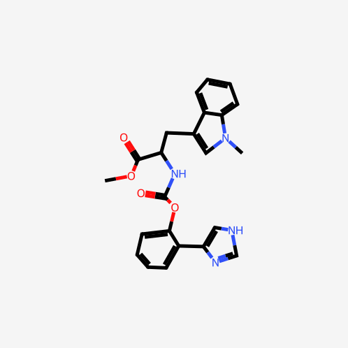 COC(=O)C(Cc1cn(C)c2ccccc12)NC(=O)Oc1ccccc1-c1c[nH]cn1